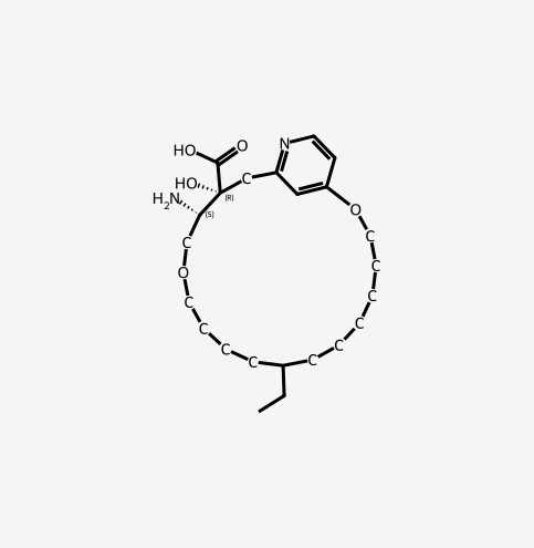 CCC1CCCCCCOc2ccnc(c2)C[C@](O)(C(=O)O)[C@@H](N)COCCCC1